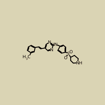 Cc1cccc(C=Cc2cnc(Nc3ccc(S(=O)(=O)C4CCNCC4)cc3)nc2)c1